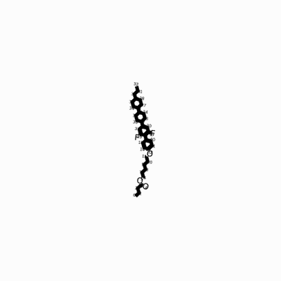 CCCC(=O)OCCCCCCOc1ccc(-c2c(F)cc(C3CCC(C4CCC(CCC)CC4)CC3)cc2F)cc1